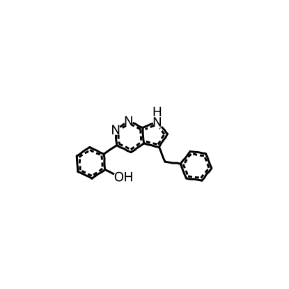 Oc1ccccc1-c1cc2c(Cc3ccccc3)c[nH]c2nn1